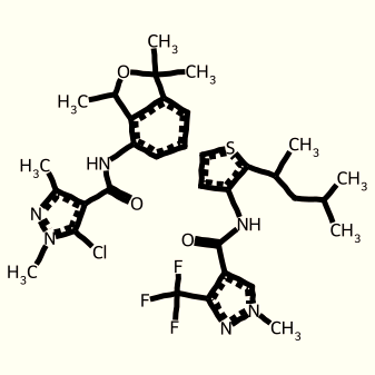 CC(C)CC(C)c1sccc1NC(=O)c1cn(C)nc1C(F)(F)F.Cc1nn(C)c(Cl)c1C(=O)Nc1cccc2c1C(C)OC2(C)C